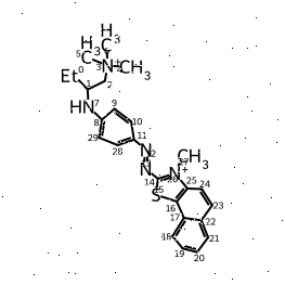 CCC(C[N+](C)(C)C)Nc1ccc(N=Nc2sc3c4ccccc4ccc3[n+]2C)cc1